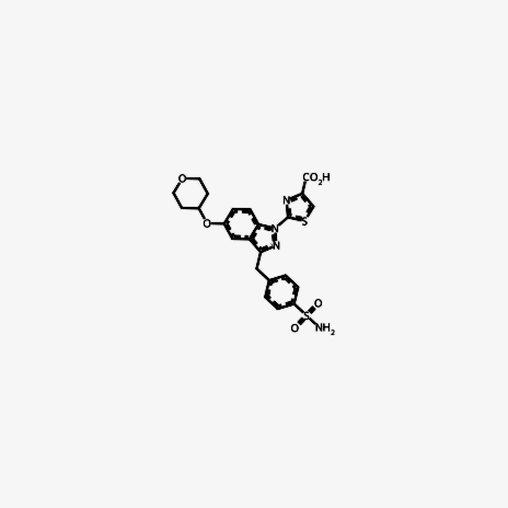 NS(=O)(=O)c1ccc(Cc2nn(-c3nc(C(=O)O)cs3)c3ccc(OC4CCOCC4)cc23)cc1